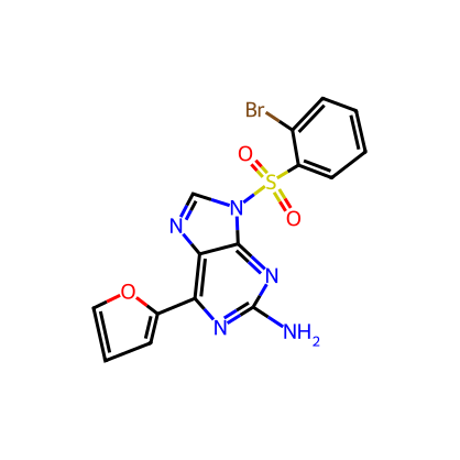 Nc1nc(-c2ccco2)c2ncn(S(=O)(=O)c3ccccc3Br)c2n1